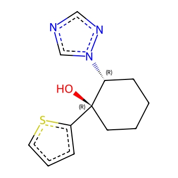 O[C@]1(c2cccs2)CCCC[C@H]1n1cncn1